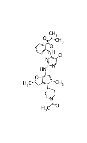 CC(=O)N1CCC(c2c(C)cc(Nc3ncc(Cl)c(Nc4ccccc4S(=O)(=O)C(C)C)n3)c3c2C[C@@H](C)O3)CC1